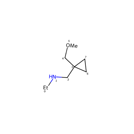 CCNCC1(COC)CC1